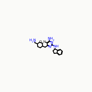 NCC1CCC(Cc2nc(N[C@H]3CCc4ccccc43)nc(N)c2[N+](=O)[O-])CC1